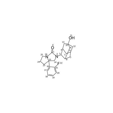 O=C1N(C2C3CC4CC2CC(O)(C4)C3)CC2(c3ccccc3F)CCCN12